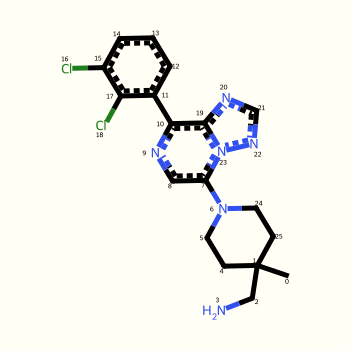 CC1(CN)CCN(c2cnc(-c3cccc(Cl)c3Cl)c3ncnn23)CC1